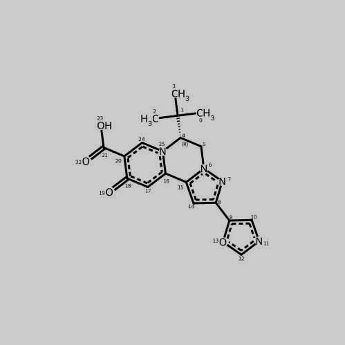 CC(C)(C)[C@@H]1Cn2nc(-c3cnco3)cc2-c2cc(=O)c(C(=O)O)cn21